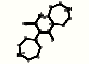 C/C(=C(/C(N)=O)C1CCCNCC1)C1CCCNCC1